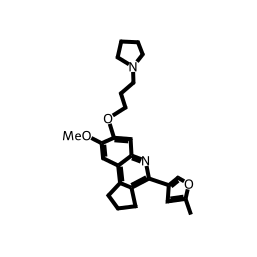 COc1cc2c3c(c(-c4coc(C)c4)nc2cc1OCCCN1CCCC1)CCC3